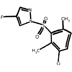 Cc1ccc(Cl)c(C)c1S(=O)(=O)n1cc(F)cn1